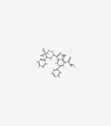 NC(=O)c1cc(-c2ccccc2)cc2c(C3CCS(=O)(=O)C(c4ccccc4)C3)c[nH]c12